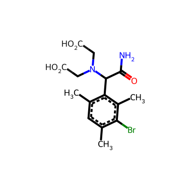 Cc1cc(C)c(C(C(N)=O)N(CC(=O)O)CC(=O)O)c(C)c1Br